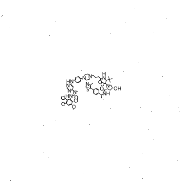 COc1cc(OC)c(Cl)c(NC(=O)N(C)c2cc(Nc3ccc(N4CCN(CCCC(=O)N[C@H](C(=O)N5C[C@H](O)C[C@H]5C(=O)N[C@@H](C)c5ccc(-c6scnc6C)cc5)C(C)(C)C)CC4)cc3)ncn2)c1Cl